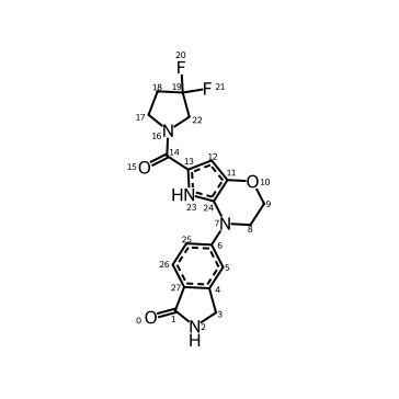 O=C1NCc2cc(N3CCOc4cc(C(=O)N5CCC(F)(F)C5)[nH]c43)ccc21